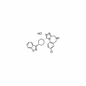 Cl.Clc1ccc2c(c1)CNCc1nnc([C@H]3CC[C@H](c4nsc5ccccc54)CC3)n1-2